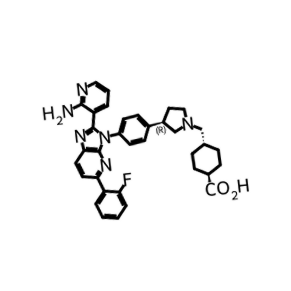 Nc1ncccc1-c1nc2ccc(-c3ccccc3F)nc2n1-c1ccc([C@H]2CCN(C[C@H]3CC[C@H](C(=O)O)CC3)C2)cc1